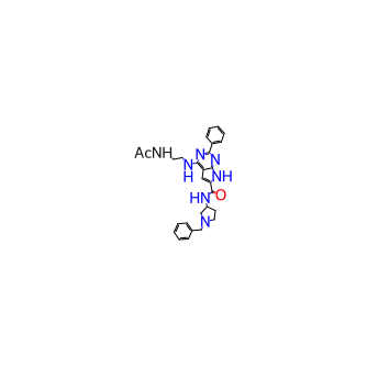 CC(=O)NCCNc1nc(-c2ccccc2)nc2[nH]c(C(=O)NC3CCN(Cc4ccccc4)C3)cc12